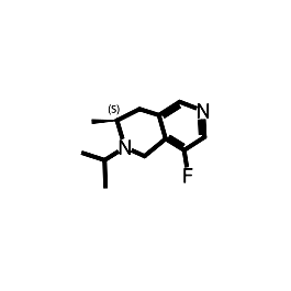 CC(C)N1Cc2c(F)cncc2C[C@@H]1C